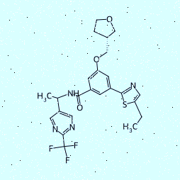 CCc1cnc(-c2cc(OC[C@@H]3CCOC3)cc(C(=O)NC(C)c3cnc(C(F)(F)F)nc3)c2)s1